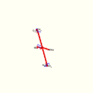 COCCOCCOCCOCCOc1c(OCCOCCOCCOCCOCCOCCOCCOCCOCCC(=O)NCCN2C([N+](=O)[O-])=CNC2C)cc(C(=O)NCCCNC(=O)OC(C)(C)C)cc1OCCOCCOCCOCCOCCOCCOCCOCCOCCC(=O)NCCn1c([N+](=O)[O-])cnc1C